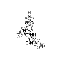 Cc1cc(NC(=O)c2ccc(S(=O)(=O)C3CNC3)cc2N2CCC3(CC2)CC3)nc(N2CCC(F)(F)CC2)n1